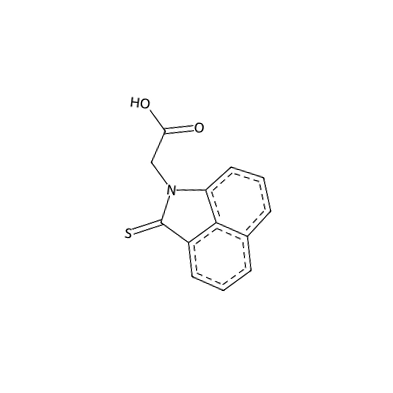 O=C(O)CN1C(=S)c2cccc3cccc1c23